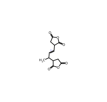 CC(/C=C/C1CC(=O)OC1=O)C1CC(=O)OC1=O